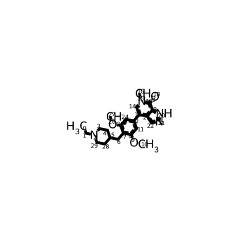 CCN1CCC(Cc2c(OC)cc(-c3cn(C)c(=O)c4[nH]ncc34)cc2OC)CC1